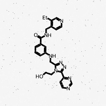 CCc1cnccc1CNC(=O)c1cccc(NCc2nnc(-c3ccncn3)n2CCO)c1